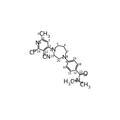 Cc1cc(N2CCCN(c3ccc(C(=O)N(C)C)cc3)CC2)c(C#N)c(Cl)n1